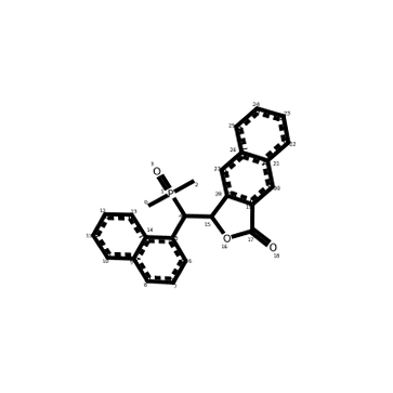 CP(C)(=O)C(c1cccc2ccccc12)C1OC(=O)c2cc3ccccc3cc21